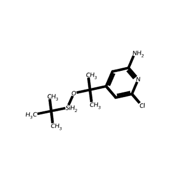 CC(C)(C)[SiH2]OC(C)(C)c1cc(N)nc(Cl)c1